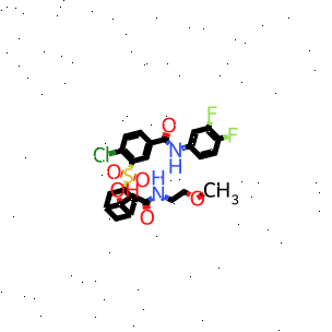 COCCNC(=O)CC1(O)C2CC1CC(S(=O)(=O)c1cc(C(=O)Nc3ccc(F)c(F)c3)ccc1Cl)C2